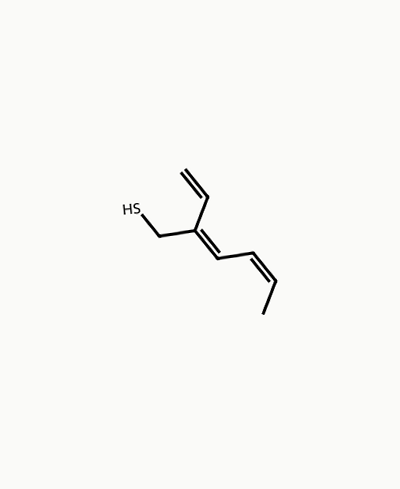 C=C/C(=C\C=C/C)CS